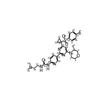 C[C@H]1COCCN1c1cc(C2(S(=O)(=O)c3ccc(F)cc3)CC2)nc(-c2ccc(NC(=O)NCCN(C)C)nc2)n1